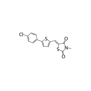 CN1C(=O)S/C(=C\c2ccc(-c3ccc(Cl)cc3)s2)C1=O